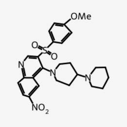 COc1ccc(S(=O)(=O)c2cnc3ccc([N+](=O)[O-])cc3c2N2CCC(N3CCCCC3)CC2)cc1